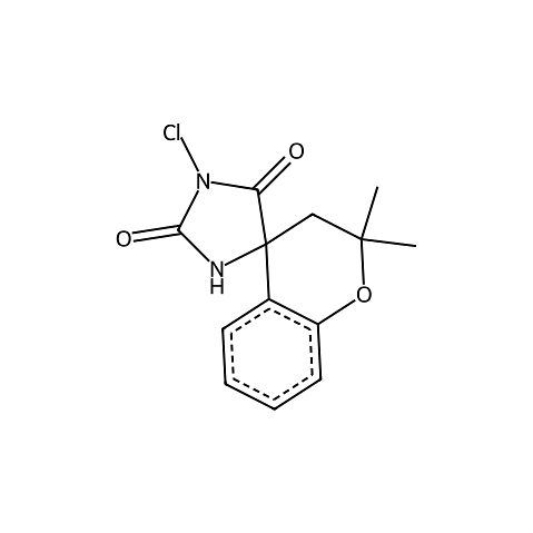 CC1(C)CC2(NC(=O)N(Cl)C2=O)c2ccccc2O1